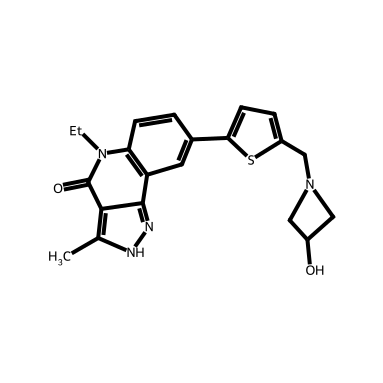 CCn1c(=O)c2c(C)[nH]nc2c2cc(-c3ccc(CN4CC(O)C4)s3)ccc21